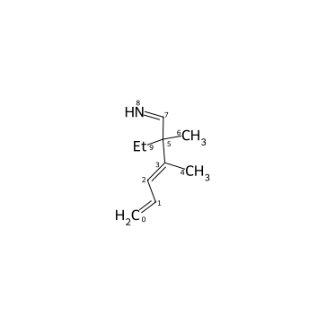 C=C/C=C(\C)C(C)(C=N)CC